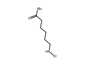 CCNCCCCCC(=O)C(C)(C)C